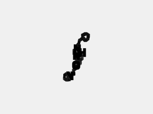 c1ccc(CCCN2CCN3C[C@@H](COCCCN4CCCCC4)CC[C@H]3C2)cc1